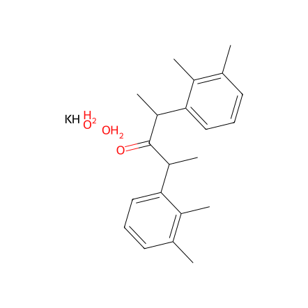 Cc1cccc(C(C)C(=O)C(C)c2cccc(C)c2C)c1C.O.O.[KH]